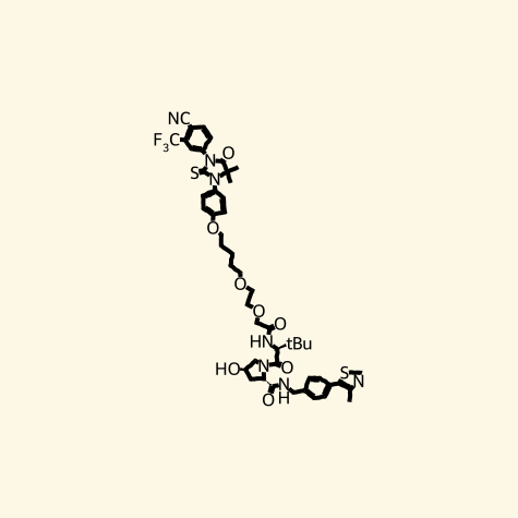 Cc1ncsc1-c1ccc(CNC(=O)[C@@H]2C[C@@H](O)CN2C(=O)[C@@H](NC(=O)COCCOCCCCCOc2ccc(N3C(=S)N(c4ccc(C#N)c(C(F)(F)F)c4)C(=O)C3(C)C)cc2)C(C)(C)C)cc1